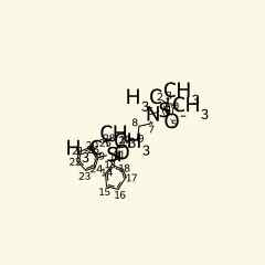 CC(C)(C)[S@+]([O-])N=CCCCO[Si](c1ccccc1)(c1ccccc1)C(C)(C)C